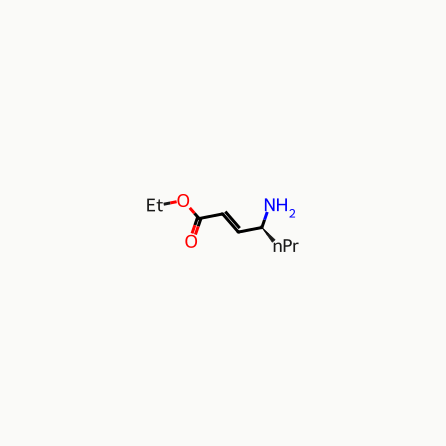 CCC[C@H](N)/C=C/C(=O)OCC